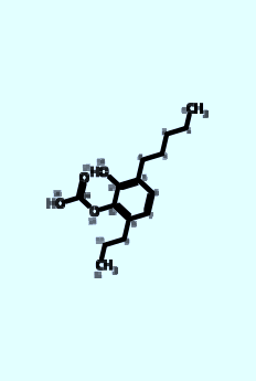 CCCCCc1ccc(CCC)c(OC(=O)O)c1O